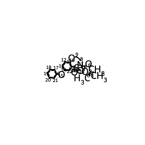 CC(C)(C)OC(=O)N1CCOc2ccc(Oc3ccccc3)cc2S1(=O)=O